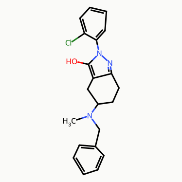 CN(Cc1ccccc1)C1CCc2nn(-c3ccccc3Cl)c(O)c2C1